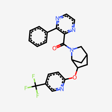 O=C(c1nccnc1-c1ccccc1)N1CC2CC(Oc3ccc(C(F)(F)F)cn3)C1C2